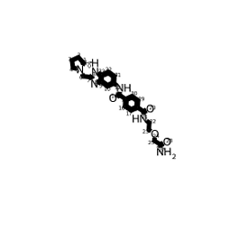 C[C@H]1CCCN1Cc1nc2cc(NC(=O)c3ccc(C(=O)NCCOCC(N)=O)cc3)ccc2[nH]1